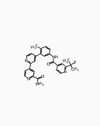 Cc1ccc(NC(=O)c2ccnc(C(C)(C)F)c2)cc1-c1ccnc(-c2ccnc(C(N)=O)c2)c1